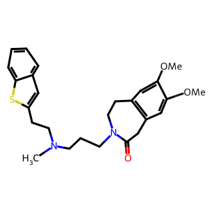 COc1cc2c(cc1OC)CC(=O)N(CCCN(C)CCc1cc3ccccc3s1)CC2